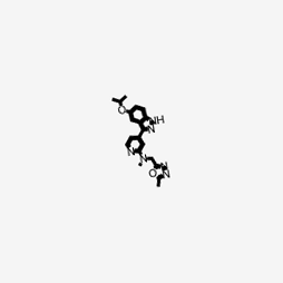 Cc1nnc(CN(C)c2cc(-c3n[nH]c4ccc(OC(C)C)cc34)ccn2)o1